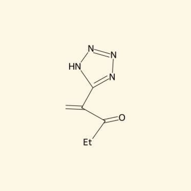 C=C(C(=O)CC)c1nnn[nH]1